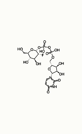 O=c1ccn([C@@H]2O[C@H](COP(=O)(O)OP(=O)(O)O[C@H]3O[C@H](CO)[C@@H](O)[C@H](O)[C@H]3F)[C@@H](O)[C@H]2O)c(=O)[nH]1